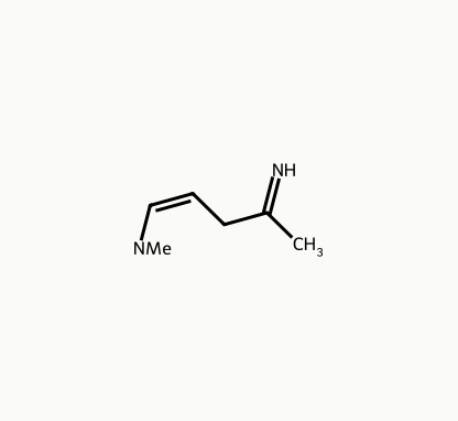 CN/C=C\CC(C)=N